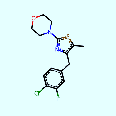 Cc1sc(N2CCOCC2)nc1Cc1ccc(Cl)c(F)c1